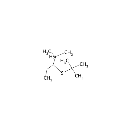 CCC(SC(C)(C)C)[SiH](C)C